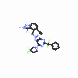 C#Cc1cccc(C2(C(F)(F)F)NN2)c1Cn1nc2nc(C(F)(F)c3ccccc3)nc(N3CCC(F)(F)C3)c2n1